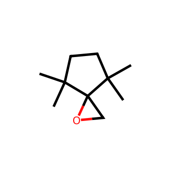 CC1(C)CCC(C)(C)C12CO2